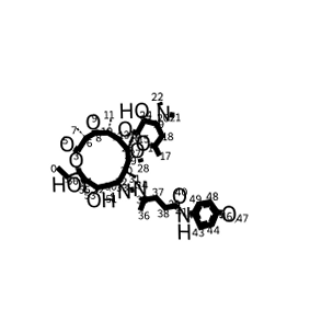 CC[C@H]1OC(=O)[C@H](C)C(=O)[C@H](C)[C@@H](OC2OC(C)CC(N(C)C)C2O)[C@](C)(OC)C[C@@H](C)/C(=N\N=C(/C)CCC(=O)Nc2ccc(OC)cc2)[C@H](C)[C@@H](O)[C@]1(C)O